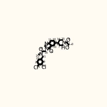 C[C@H](O)C(=O)N1CCC(c2ccc3ncn(CC(=O)N(C)Cc4ccc(Cl)c(Cl)c4)c(=O)c3c2)CC1